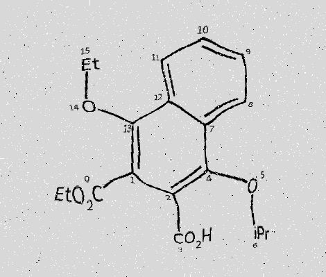 CCOC(=O)c1c(C(=O)O)c(OC(C)C)c2ccccc2c1OCC